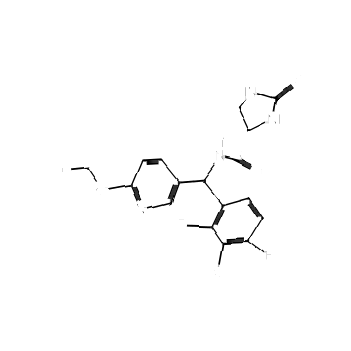 O=C1NC[C@@H](C(=O)NC(c2ccc(OCC(F)(F)F)nc2)c2ccc(F)c(Cl)c2F)N1